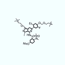 CCc1cc(OCOCC[Si](C)(C)C)c(F)cc1-c1cc2c(c(I)nn2COCC[Si](C)(C)C)c(NCc2cc(OC)ccc2N(C)S(C)(=O)=O)n1